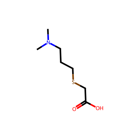 CN(C)CCCSCC(=O)O